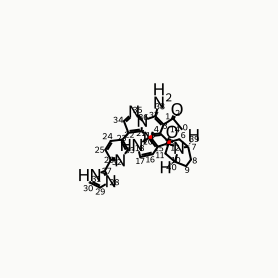 CC(=O)c1c(C2C[C@H]3CC[C@@H](C2)N3C(=O)c2cc[nH]c2)nc2c(-c3ccc(-c4ncc[nH]4)nc3)cnn2c1N